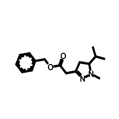 CC(C)C1CC(CC(=O)OCc2ccccc2)=NN1C